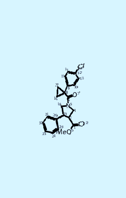 COC(=O)C1CN(C(=O)C2(c3ccc(Cl)cc3)CC2)CC1c1ccccc1